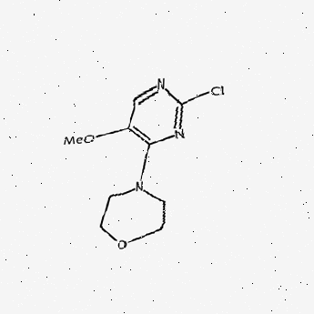 COc1cnc(Cl)nc1N1CCOCC1